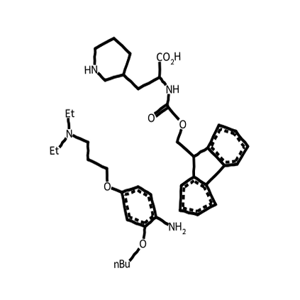 CCCCOc1cc(OCCCN(CC)CC)ccc1N.O=C(NC(CC1CCCNC1)C(=O)O)OCC1c2ccccc2-c2ccccc21